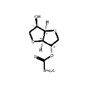 CCCCCCCC(=O)O[C@H]1CO[C@H]2[C@@H]1OC[C@H]2O